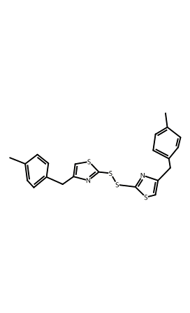 Cc1ccc(Cc2csc(SSc3nc(Cc4ccc(C)cc4)cs3)n2)cc1